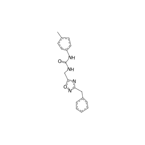 Cc1ccc(NC(=O)NCc2nc(Cc3ccccc3)no2)cc1